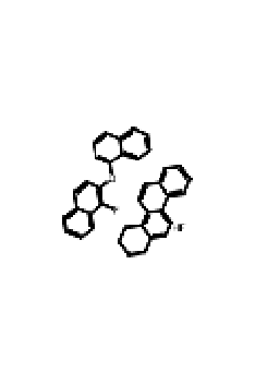 F.Fc1c(Oc2cccc3ccccc23)ccc2ccccc12.c1ccc2c(c1)ccc1c3c(ccc12)CCCC3